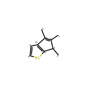 CC1=C(C)C(C)c2sccc21